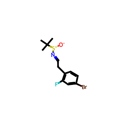 CC(C)(C)[S@@+]([O-])/N=C/Cc1ccc(Br)cc1F